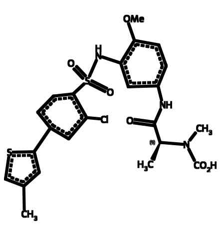 COc1ccc(NC(=O)[C@H](C)N(C)C(=O)O)cc1NS(=O)(=O)c1ccc(-c2cc(C)cs2)cc1Cl